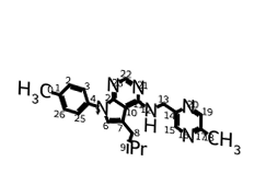 Cc1ccc(-n2cc(CC(C)C)c3c(NCc4cnc(C)cn4)ncnc32)cc1